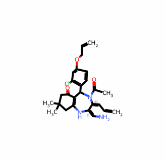 C=C/C=C1\C(=C/N)NC2=C(C(=O)CC(C)(C)C2)C(c2ccc(OCC=C)cc2Cl)N1C(C)=O